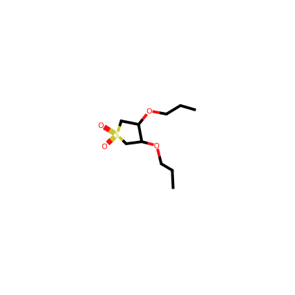 CCCOC1CS(=O)(=O)CC1OCCC